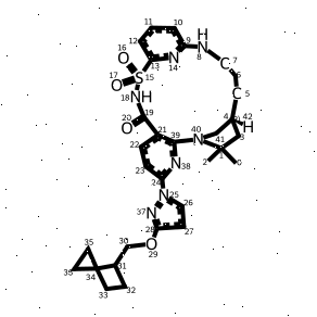 CC1(C)C[C@H]2CCCNc3cccc(n3)S(=O)(=O)NC(=O)c3ccc(-n4ccc(OCC5CCC56CC6)n4)nc3N1C2